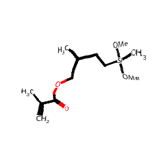 C=C(C)C(=O)OCC(C)CC[Si](C)(OC)OC